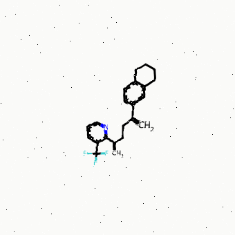 C=C(CCC(=C)c1ncccc1C(F)(F)F)c1ccc2c(c1)CCCC2